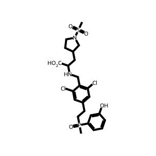 CP(=O)(CCc1cc(Cl)c(CNC(CC2CCN(S(C)(=O)=O)C2)C(=O)O)c(Cl)c1)c1cccc(O)c1